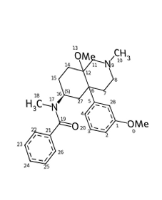 COc1cccc(C23CCN(C)CC2(OC)CC[C@H](N(C)C(=O)c2ccccc2)C3)c1